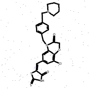 O=C1NC(=S)S/C1=C/c1cc(Cl)c2c(c1)N(Cc1ccc(CN3CCCCC3)cc1)C(=O)CO2